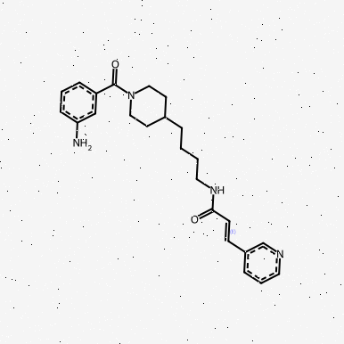 Nc1cccc(C(=O)N2CCC(CCCCNC(=O)/C=C/c3cccnc3)CC2)c1